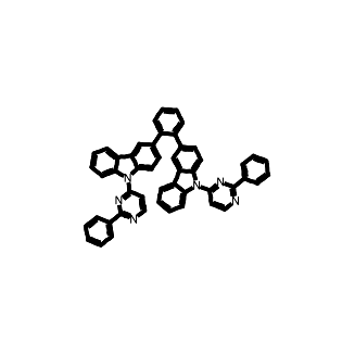 c1ccc(-c2nccc(-n3c4ccccc4c4cc(-c5ccccc5-c5ccc6c(c5)c5ccccc5n6-c5ccnc(-c6ccccc6)n5)ccc43)n2)cc1